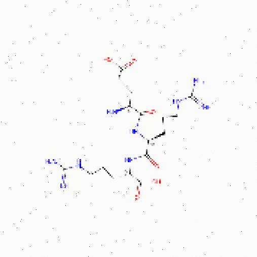 N=C(N)NCCC[C@H](NC(=O)[C@H](CCCNC(=N)N)NC(=O)[C@@H](N)CCC(=O)O)C(=O)O